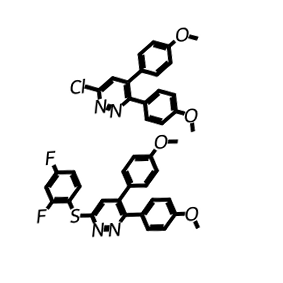 COc1ccc(-c2cc(Cl)nnc2-c2ccc(OC)cc2)cc1.COc1ccc(-c2cc(Sc3ccc(F)cc3F)nnc2-c2ccc(OC)cc2)cc1